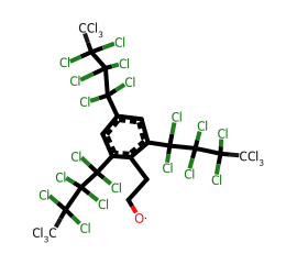 [O]CCc1c(C(Cl)(Cl)C(Cl)(Cl)C(Cl)(Cl)C(Cl)(Cl)Cl)cc(C(Cl)(Cl)C(Cl)(Cl)C(Cl)(Cl)C(Cl)(Cl)Cl)cc1C(Cl)(Cl)C(Cl)(Cl)C(Cl)(Cl)C(Cl)(Cl)Cl